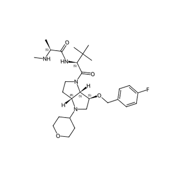 CN[C@@H](C)C(=O)N[C@H](C(=O)N1CC[C@@H]2[C@H]1[C@@H](OCc1ccc(F)cc1)CN2C1CCOCC1)C(C)(C)C